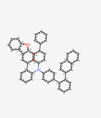 c1ccc(-c2ccc(N(c3ccc(-c4ccccc4-c4ccc5ccccc5c4)cc3)c3ccccc3-c3ccc4oc5ccccc5c4c3)cc2)cc1